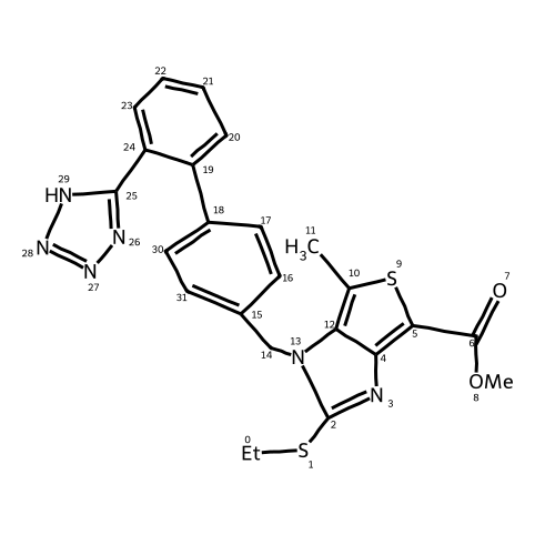 CCSc1nc2c(C(=O)OC)sc(C)c2n1Cc1ccc(-c2ccccc2-c2nnn[nH]2)cc1